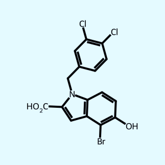 O=C(O)c1cc2c(Br)c(O)ccc2n1Cc1ccc(Cl)c(Cl)c1